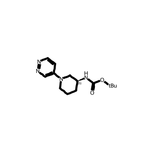 CC(C)(C)OC(=O)N[C@H]1CCCN(c2ccnnc2)C1